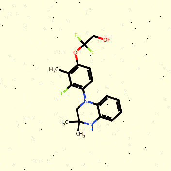 Cc1c(OC(F)(F)CO)ccc(N2CC(C)(C)Nc3ccccc32)c1F